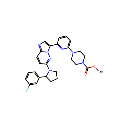 CC(C)(C)OC(=O)N1CCN(c2cccc(-c3cnc4ccc(N5CCCC5c5cccc(F)c5)nn34)n2)CC1